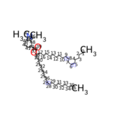 CCCCC/C=C\C/C=C\CCCCCCCCC(CCCCCCCC/C=C\CCCCCCCC)OC(=O)C1CCCC(N(C)C)C1